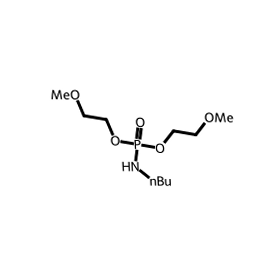 CCCCNP(=O)(OCCOC)OCCOC